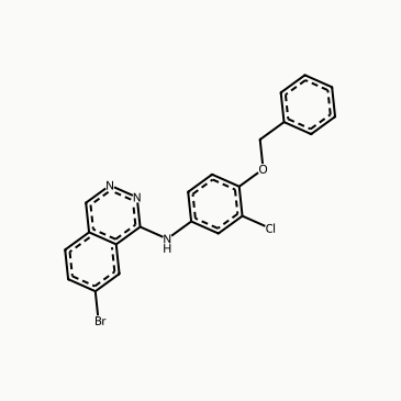 Clc1cc(Nc2nncc3ccc(Br)cc23)ccc1OCc1ccccc1